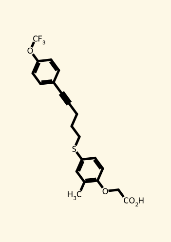 Cc1cc(SCCCC#Cc2ccc(OC(F)(F)F)cc2)ccc1OCC(=O)O